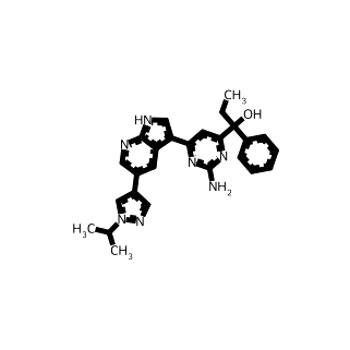 CCC(O)(c1ccccc1)c1cc(-c2c[nH]c3ncc(-c4cnn(C(C)C)c4)cc23)nc(N)n1